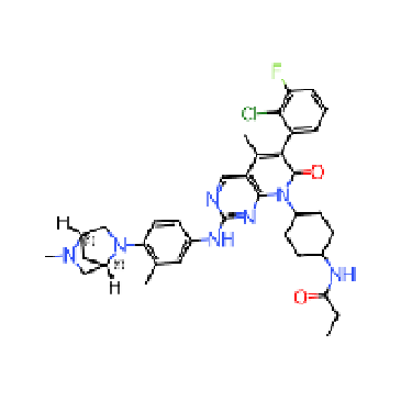 CCC(=O)NC1CCC(n2c(=O)c(-c3cccc(F)c3Cl)c(C)c3cnc(Nc4ccc(N5C[C@@H]6C[C@H]5CN6C)c(C)c4)nc32)CC1